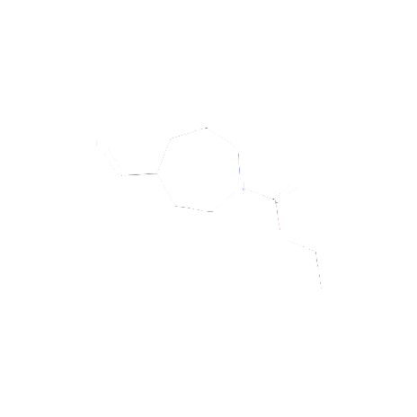 CCOC(=O)N1CCCC(C=O)CC1